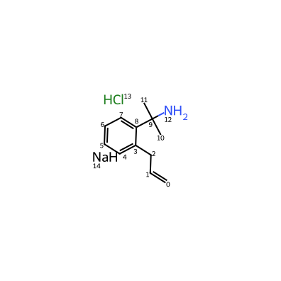 C=CCc1ccccc1C(C)(C)N.Cl.[NaH]